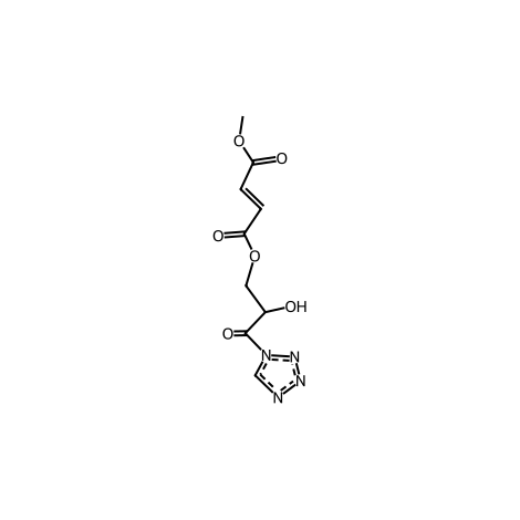 COC(=O)/C=C/C(=O)OCC(O)C(=O)n1cnnn1